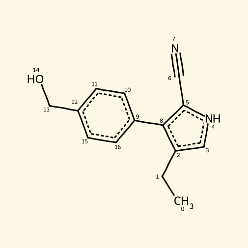 CCc1c[nH]c(C#N)c1-c1ccc(CO)cc1